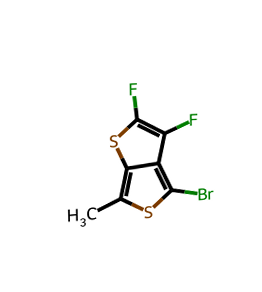 Cc1sc(Br)c2c(F)c(F)sc12